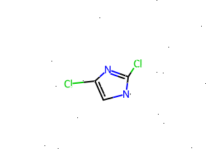 ClC1=C[N]C(Cl)=N1